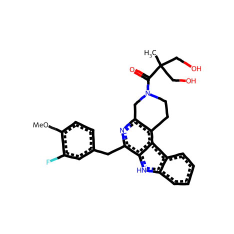 COc1ccc(Cc2nc3c(c4c2[nH]c2ccccc24)CCN(C(=O)C(C)(CO)CO)C3)cc1F